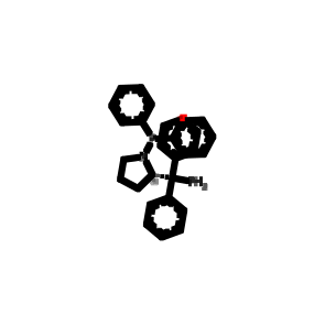 PC(c1ccccc1)(c1ccccc1)[C@@H]1CCCN1P(c1ccccc1)c1ccccc1